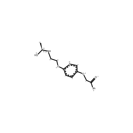 CC(C)C(=O)COc1ccc(OCCN[C@H](C)S)nc1